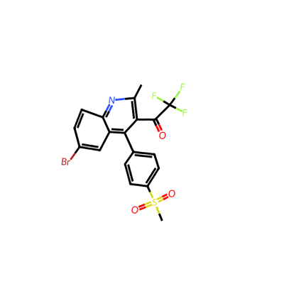 Cc1nc2ccc(Br)cc2c(-c2ccc(S(C)(=O)=O)cc2)c1C(=O)C(F)(F)F